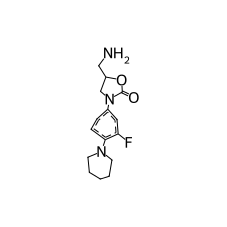 NCC1CN(c2ccc(N3CCCCC3)c(F)c2)C(=O)O1